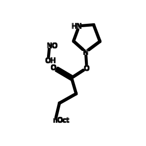 CCCCCCCCCCC(=O)ON1CCNC1.O=NO